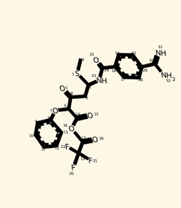 CSC(CC(=O)C(Oc1ccccc1)C(=O)OC(=O)C(F)(F)F)NC(=O)c1ccc(C(=N)N)cc1